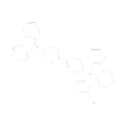 N#Cc1cccc([Si](c2ccccc2)(c2ccccc2)c2ccc(-c3ccc(-n4c5ccccc5c5ccccc54)cc3)cc2)c1